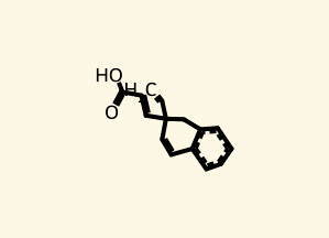 C=CC1(C=CC(=O)O)C=Cc2ccccc2C1